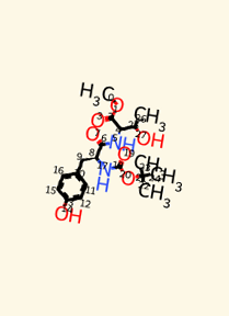 COC(=O)[C@@H](NC(=O)[C@H](Cc1ccc(O)cc1)NC(=O)OC(C)(C)C)C(C)O